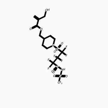 C=C(CO)C(=O)OCC1CCN(S(=O)(=O)C(F)(F)C(F)(F)C(F)(F)S(=O)(=O)NS(=O)(=O)C(F)(F)F)CC1